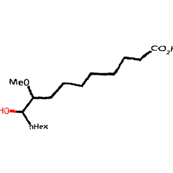 CCCCCCC(O)C(CCCCCCCC(=O)O)OC